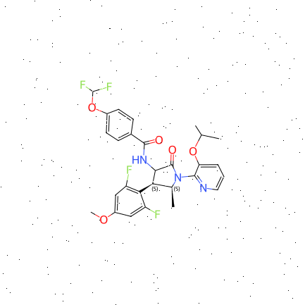 COc1cc(F)c([C@H]2C(NC(=O)c3ccc(OC(F)F)cc3)C(=O)N(c3ncccc3OC(C)C)[C@H]2C)c(F)c1